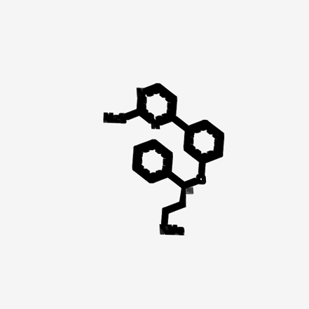 CNCC[C@H](Oc1cccc(-c2ccnc(SC)n2)c1)c1ccccc1